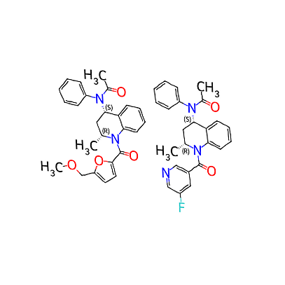 CC(=O)N(c1ccccc1)[C@H]1C[C@@H](C)N(C(=O)c2cncc(F)c2)c2ccccc21.COCc1ccc(C(=O)N2c3ccccc3[C@@H](N(C(C)=O)c3ccccc3)C[C@H]2C)o1